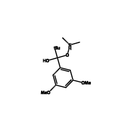 COc1cc(OC)cc(C(O)(O[SiH](C)C)C(C)(C)C)c1